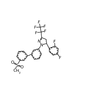 CS(=O)(=O)c1cccc(-c2cccc(N3N=C(C(F)(F)C(F)(F)F)CC3c3ccc(F)cc3F)c2)c1